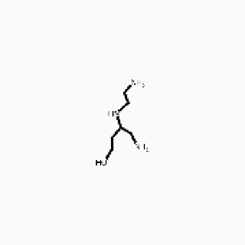 NCCNC(CN)CCO